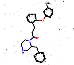 CC(=O)Nc1cccc(Oc2ccccc2CCC(=O)N2CCNCC2Cc2ccccc2)c1